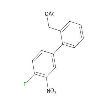 CC(=O)OCc1ccccc1-c1ccc(F)c([N+](=O)[O-])c1